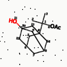 CC(=O)OC(C)(C)C12CC3CC(CC(O)(C3)C1)C2